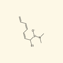 C=C/C=C\C=C/C(CC)[S+]([O-])N(C)C